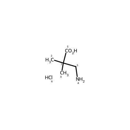 CC(C)(CN)C(=O)O.Cl